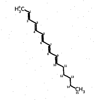 CC=CC=CC=CC=CC=CCCCCC